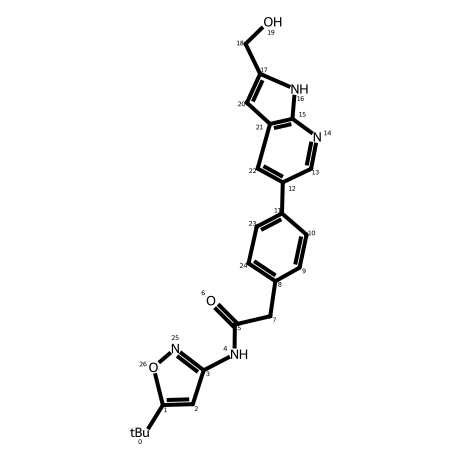 CC(C)(C)c1cc(NC(=O)Cc2ccc(-c3cnc4[nH]c(CO)cc4c3)cc2)no1